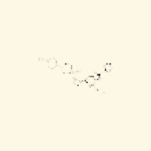 CCN1CCC(C2CCN(C(=O)[C@@H]3CCN3c3cc4nc(-c5ccco5)nn4c(N)n3)CC2)CC1